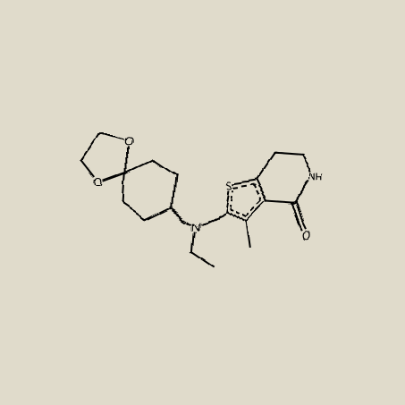 CCN(c1sc2c(c1C)C(=O)NCC2)C1CCC2(CC1)OCCO2